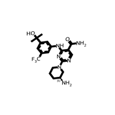 CC(C)(O)c1cc(Nc2nc(N3CCC[C@H](N)C3)ncc2C(N)=O)cc(C(F)(F)F)c1